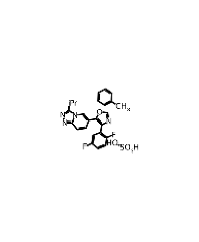 CC(C)c1nnc2ccc(-c3ocnc3-c3cc(F)ccc3F)cn12.Cc1ccccc1.O=S(=O)(O)O